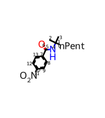 CCCCCC(C)(C)NC(=O)c1ccc([N+](=O)[O-])cc1